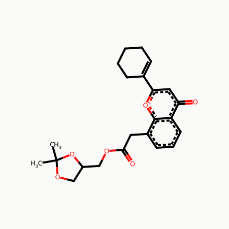 CC1(C)OCC(COC(=O)Cc2cccc3c(=O)cc(C4=CCCCC4)oc23)O1